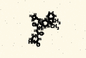 CN(C)C1(c2ccccc2)CCC2(CC1)CN(CC(=O)N1CCNC(=O)C1)C(=O)N2CC1CCC1